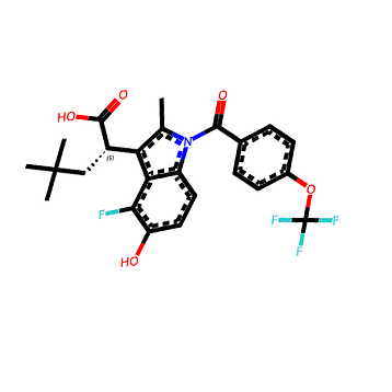 Cc1c([C@H](CC(C)(C)C)C(=O)O)c2c(F)c(O)ccc2n1C(=O)c1ccc(OC(F)(F)F)cc1